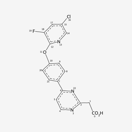 O=C(O)Cc1nccc(-c2ccc(Oc3ncc(Cl)cc3F)cc2)n1